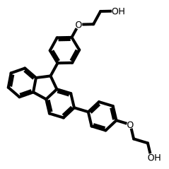 OCCOc1ccc(-c2ccc3c(c2)C(c2ccc(OCCO)cc2)c2ccccc2-3)cc1